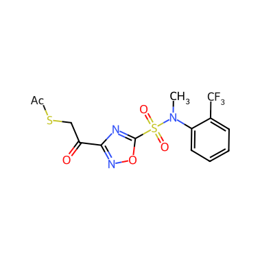 CC(=O)SCC(=O)c1noc(S(=O)(=O)N(C)c2ccccc2C(F)(F)F)n1